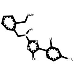 CCCN(Cc1ccccc1COC)c1nc(-c2ccc(C)cc2Cl)c(C)s1